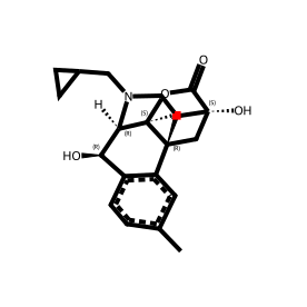 Cc1ccc2c(c1)[C@]13CCN(CC4CC4)[C@H]([C@@H]2O)[C@]12CC[C@](O)(C3)C(=O)O2